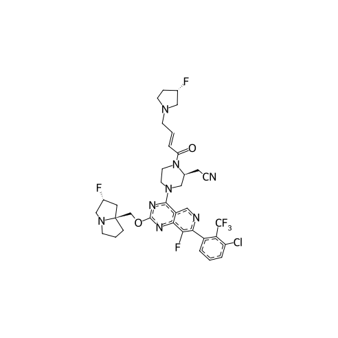 N#CC[C@H]1CN(c2nc(OC[C@@]34CCCN3C[C@H](F)C4)nc3c(F)c(-c4cccc(Cl)c4C(F)(F)F)ncc23)CCN1C(=O)/C=C/CN1CC[C@H](F)C1